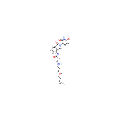 CCCCOCCCNCCC(=O)Nc1cccc2c1CN(C1CCC(=O)NC1=O)C2=O